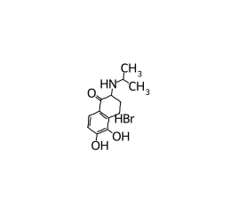 Br.CC(C)NC1CCc2c(ccc(O)c2O)C1=O